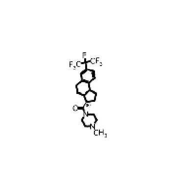 CN1CCN(C(=O)[C@@H]2CCC3c4ccc(C(F)(C(F)(F)F)C(F)(F)F)cc4CCC32)CC1